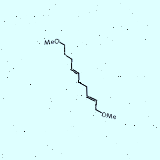 COCC=CC[CH]C=CCCCOC